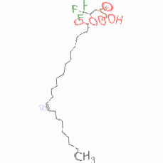 CCCCCCCC/C=C\CCCCCCCCCCCC(=O)OC(CS(=O)(=O)O)C(F)(F)F